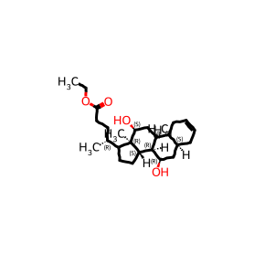 CCOC(=O)CC[C@@H](C)C1CC[C@H]2[C@@H]3[C@H](O)C[C@@H]4CC=CC[C@]4(C)[C@H]3C[C@H](O)[C@]12C